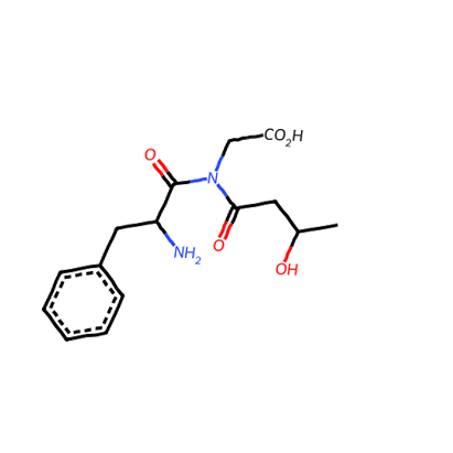 CC(O)CC(=O)N(CC(=O)O)C(=O)C(N)Cc1ccccc1